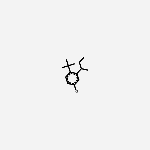 CCC(C)c1cc(Cl)ccc1C(C)(C)C